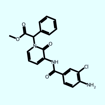 COC(=O)C(c1ccccc1)n1cccc(NC(=O)c2ccc(N)c(Cl)c2)c1=O